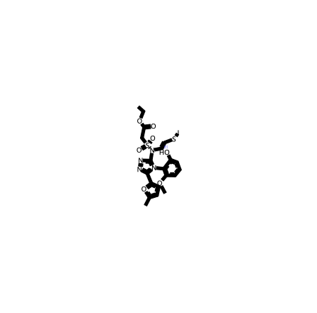 CCOC(=O)CS(=O)(=O)N(/C=C/SI)c1nnc(-c2ccc(C)o2)n1-c1c(O)cccc1OC